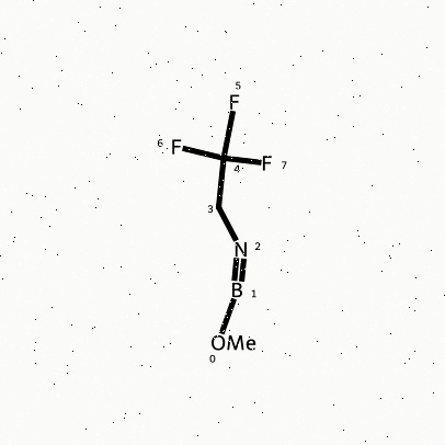 COB=NCC(F)(F)F